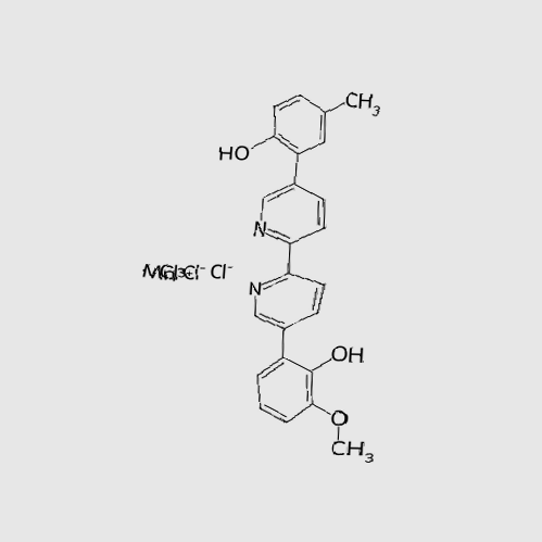 COc1cccc(-c2ccc(-c3ccc(-c4cc(C)ccc4O)cn3)nc2)c1O.[Cl-].[Cl-].[Cl-].[Mn+3]